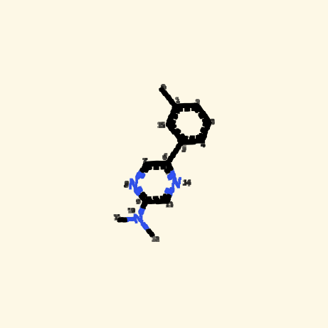 Cc1cccc(-c2cnc(N(C)C)cn2)c1